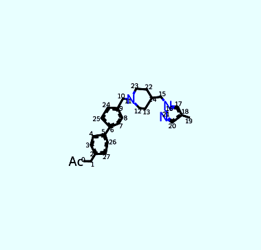 CC(=O)Cc1ccc(-c2ccc(CN3CCC(Cn4cc(C)cn4)CC3)cc2)cc1